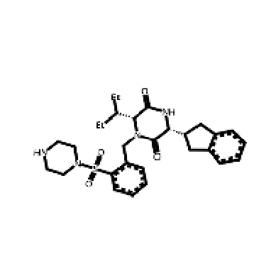 CCC(CC)[C@@H]1C(=O)N[C@H](C2Cc3ccccc3C2)C(=O)N1Cc1ccccc1S(=O)(=O)N1CCNCC1